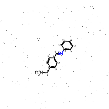 O=[N+]([O-])Cc1ccc(/C=N/c2ccccc2)cc1